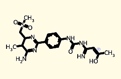 C/C(O)=C/C(=N)NC(=O)Nc1ccc(C2=NC(CS(C)(=O)=O)C(C)C(N)=N2)cc1